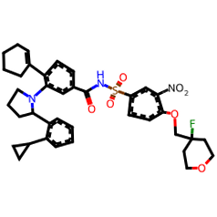 O=C(NS(=O)(=O)c1ccc(OCC2(F)CCOCC2)c([N+](=O)[O-])c1)c1ccc(C2=CCCCC2)c(N2CCCC2c2ccccc2C2CC2)c1